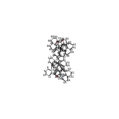 CC\C1=C/C=C(N(c2ccccc2)c2cccc3ccccc23)\C=C\C2(c3cc(N(c4ccccc4)c4cccc5ccccc45)ccc31)c1cc(N(c3ccccc3)c3cccc4ccccc34)ccc1-c1ccc(N(c3ccccc3)c3cccc4ccccc34)cc12